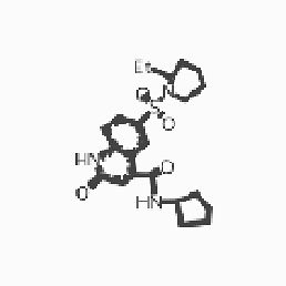 CCC1CCCCN1S(=O)(=O)c1ccc2[nH]c(=O)cc(C(=O)NC3CCCC3)c2c1